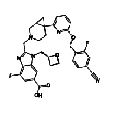 N#Cc1ccc(COc2cccc(C34CCN(Cc5nc6c(F)cc(C(=O)O)cc6n5C[C@@H]5CCO5)CC3C4)n2)c(F)c1